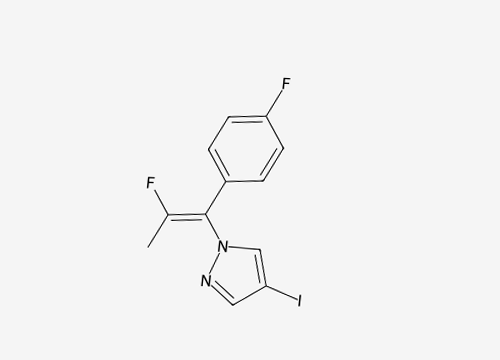 CC(F)=C(c1ccc(F)cc1)n1cc(I)cn1